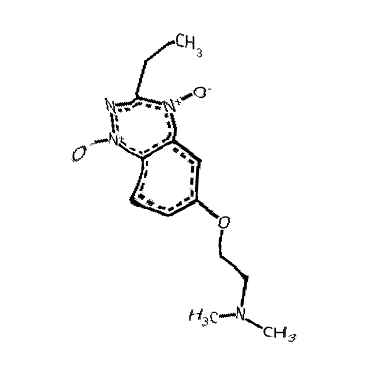 CCc1n[n+]([O-])c2ccc(OCCN(C)C)cc2[n+]1[O-]